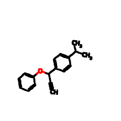 C#CC(Oc1ccccc1)c1ccc(C(C)C)cc1